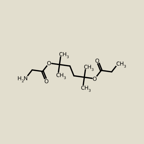 CCC(=O)OC(C)(C)CCC(C)(C)OC(=O)CN